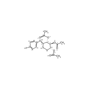 CC(=O)O[C@@H]1[C@@H](OC(C)=O)[C@H](OC(C)=O)CS[C@H]1Oc1ccc(I)cc1